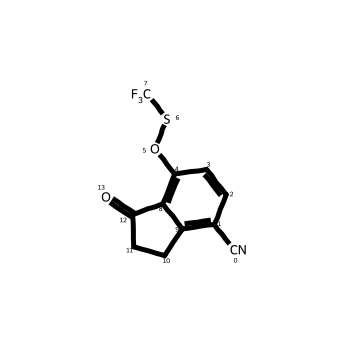 N#Cc1ccc(OSC(F)(F)F)c2c1CCC2=O